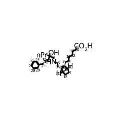 CCCC(O)(CNCC[C@@H]1[C@@H](CCCCCCC(=O)O)[C@@H]2CC[C@H]1O2)CSCc1ccccc1